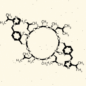 CC(C)C[C@H]1CO[C@H](C)CN(C)[C@@H](CC(C)C)CO[C@H](Cc2ccc(Cn3ccnc3C(C)C)cc2)CN(C)[C@@H](CC(C)C)CO[C@H](C)CN(C)[C@@H](CC(C)C)CO[C@H](Cc2ccc(Cn3ccnc3C(C)C)cc2)CN1C